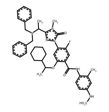 Cc1cc(NC(=O)O)ccc1NC(=O)c1cc(F)c(-n2nc(C(C)N(Cc3ccccc3)Cc3ccccc3)n(C)c2=O)cc1OC(C)C1CCCCC1